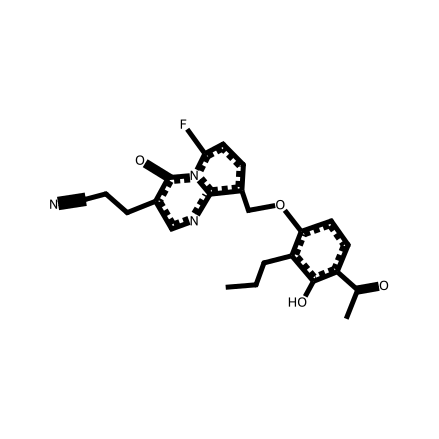 CCCc1c(OCc2ccc(F)n3c(=O)c(CCC#N)cnc23)ccc(C(C)=O)c1O